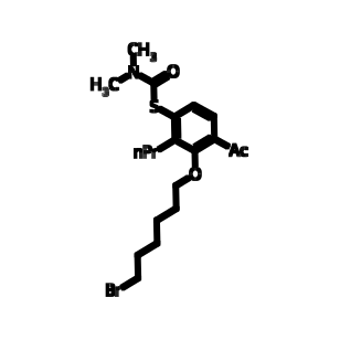 CCCc1c(SC(=O)N(C)C)ccc(C(C)=O)c1OCCCCCCBr